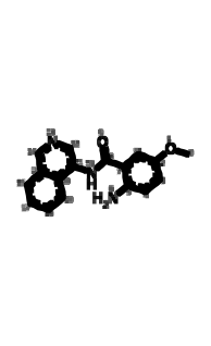 COc1ccc(N)c(C(=O)Nc2cncc3ccccc23)c1